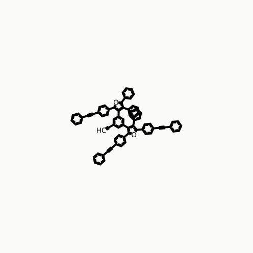 C#Cc1cc(-c2c(-c3ccc(C#Cc4ccccc4)cc3)oc(-c3ccccc3)c2-c2ccccc2)cc(-c2c(-c3ccc(C#Cc4ccccc4)cc3)oc(-c3ccc(C#Cc4ccccc4)cc3)c2-c2ccccc2)c1